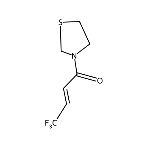 O=C(C=CC(F)(F)F)N1CCSC1